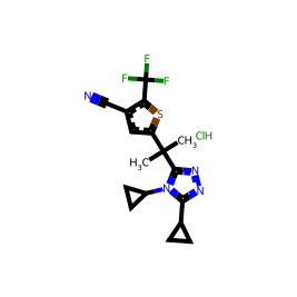 CC(C)(c1cc(C#N)c(C(F)(F)F)s1)c1nnc(C2CC2)n1C1CC1.Cl